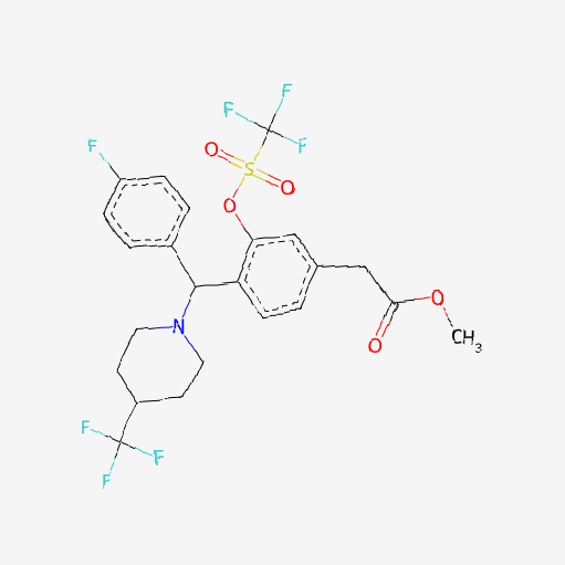 COC(=O)Cc1ccc(C(c2ccc(F)cc2)N2CCC(C(F)(F)F)CC2)c(OS(=O)(=O)C(F)(F)F)c1